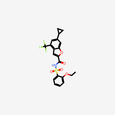 CCOc1ccccc1S(=O)(=O)NC(=O)c1cc2c(C(F)(F)F)cc(C3CC3)cc2o1